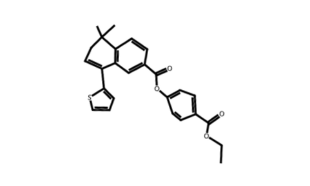 CCOC(=O)c1ccc(OC(=O)c2ccc3c(c2)C(c2cccs2)=CCC3(C)C)cc1